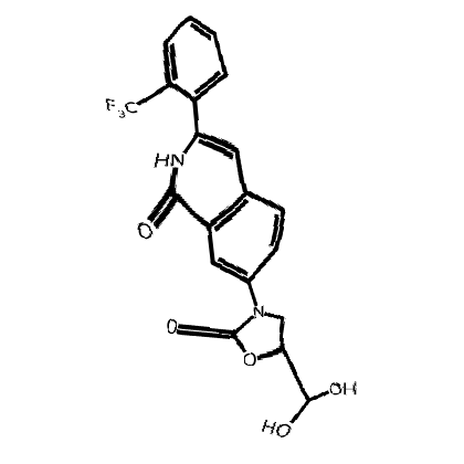 O=C1OC(C(O)O)CN1c1ccc2cc(-c3ccccc3C(F)(F)F)[nH]c(=O)c2c1